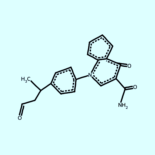 CC(CC=O)c1ccc(-n2cc(C(N)=O)c(=O)c3ccccc32)cc1